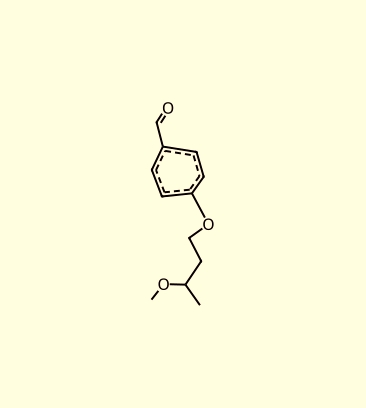 COC(C)CCOc1ccc(C=O)cc1